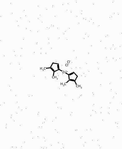 CC1=C(C)[C]([Zr+2][C]2=CCC(C)=C2C)=CC1.[Cl-].[Cl-]